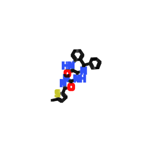 Cc1ccc(-c2nnc(NC3N=C(c4ccccc4)c4ccccc4NC3=O)o2)s1